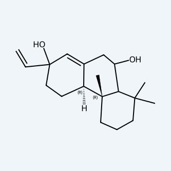 C=CC1(O)C=C2CC(O)C3C(C)(C)CCC[C@]3(C)[C@H]2CC1